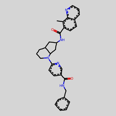 Cc1c(C(=O)NC2CC3CCCN(c4ccc(C(=O)NCc5ccccc5)cn4)C3C2)ccc2cccnc12